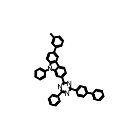 Cc1cccc(-c2ccc3c(c2)c2ccc(-c4nc(-c5ccccc5)nc(-c5ccc(-c6ccccc6)cc5)n4)cc2n3-c2ccccc2)c1